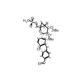 CCCCO[C@@H]1[C@@H](OCCCC)[C@H](c2ccc(Cl)c(Cc3ccc(OCC)cc3)c2)O[C@]2(COS(C)(=O)=O)C[C@H]12